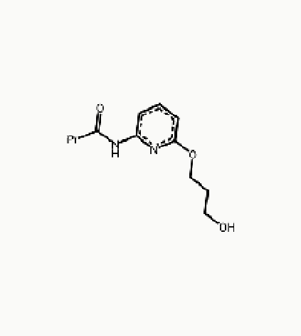 CC(C)C(=O)Nc1cccc(OCCCO)n1